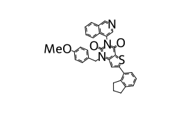 COc1ccc(Cn2c(=O)n(-c3cncc4ccccc34)c(=O)c3sc(-c4cccc5c4CCC5)cc32)cc1